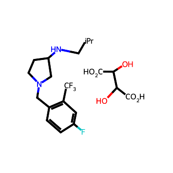 CC(C)CNC1CCN(Cc2ccc(F)cc2C(F)(F)F)C1.O=C(O)C(O)C(O)C(=O)O